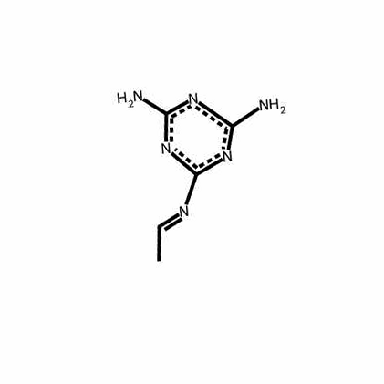 CC=Nc1nc(N)nc(N)n1